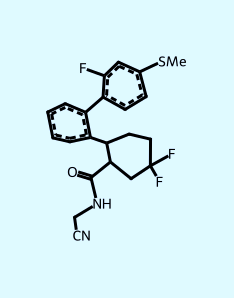 CSc1ccc(-c2ccccc2C2CCC(F)(F)CC2C(=O)NCC#N)c(F)c1